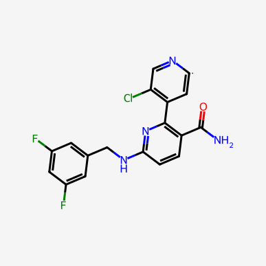 NC(=O)c1ccc(NCc2cc(F)cc(F)c2)nc1-c1c[c]ncc1Cl